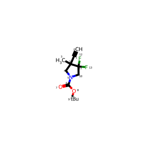 C#CC1(C)CN(C(=O)OC(C)(C)C)CC1(F)F